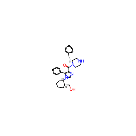 O=C(c1ncn([C@@H]2CCCC[C@@H]2CO)c1-c1ccccc1)N1CCNC[C@H]1Cc1ccccc1